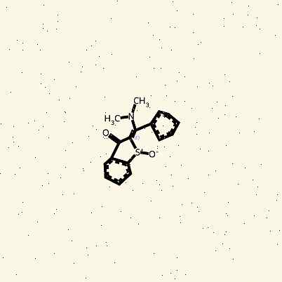 CN(C)/C(=C1\C(=O)c2ccccc2[S+]1[O-])c1ccccc1